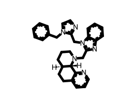 c1ccc(Cn2ccnc2Cn2c(CN3CCC[C@@H]4CCc5cccnc5[C@H]43)nc3ccccc32)cc1